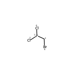 ClP(Cl)CBr